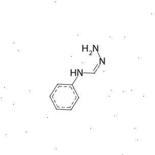 N/N=C\Nc1ccccc1